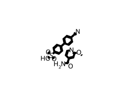 COc1cc(C(N)=O)ccn1.N#Cc1ccc(-c2ccc(S(=O)(=O)O)cc2)cc1